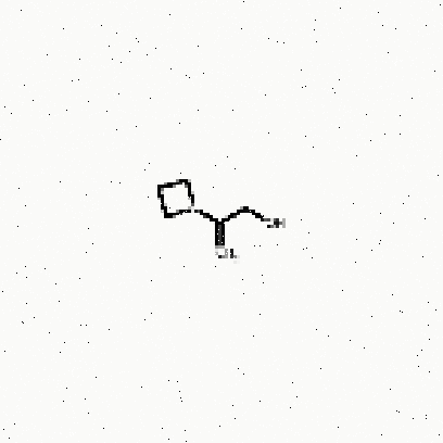 C=C(CO)N1CCC1